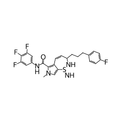 Cn1cc2c(c1C(=O)Nc1cc(F)c(F)c(F)c1)C=CC(CCCc1ccc(F)cc1)NS2=N